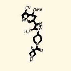 COc1cc(-c2nnn(C3CCN(C(=O)C4(F)CNC4)CC3)c2C)cn2ncc(C#N)c12